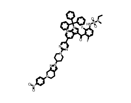 CCN(C)S(=O)(=O)Nc1ccc(F)c(C(=O)c2cn(C(c3ccccc3)(c3ccccc3)c3ccccc3)c3ncc(-c4cnc(N5CCC(n6cc7c(n6)CN(c6ccc([N+](=O)[O-])cc6)CC7)CC5)nc4)cc23)c1F